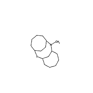 CN1C2CCCCC(CC2)SC2CCCCCC1C2